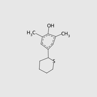 Cc1cc(C2CCCCS2)cc(C)c1O